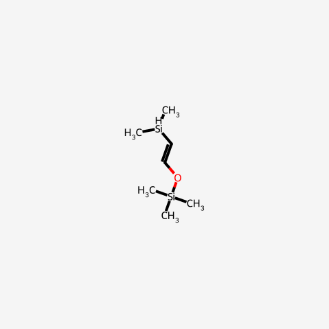 C[SiH](C)C=CO[Si](C)(C)C